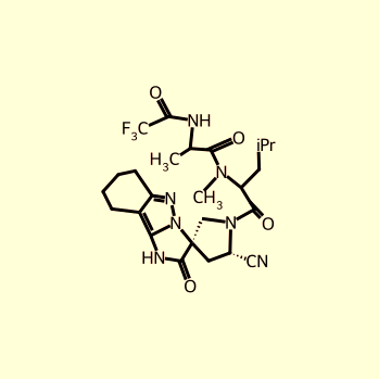 CC(C)CC(C(=O)N1C[C@]2(C[C@H]1C#N)C(=O)Nc1c3c(nn12)CCCC3)N(C)C(=O)C(C)NC(=O)C(F)(F)F